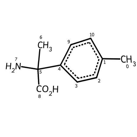 Cc1ccc(C(C)(N)C(=O)O)cc1